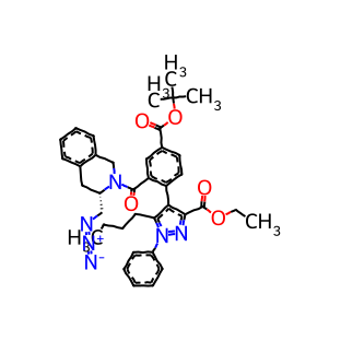 CCCCc1c(-c2ccc(C(=O)OC(C)(C)C)cc2C(=O)N2Cc3ccccc3C[C@H]2CN=[N+]=[N-])c(C(=O)OCC)nn1-c1ccccc1